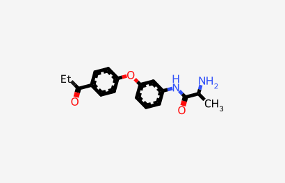 CCC(=O)c1ccc(Oc2cccc(NC(=O)C(C)N)c2)cc1